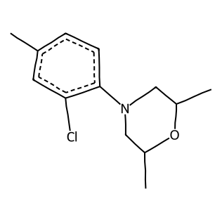 Cc1ccc(N2CC(C)OC(C)C2)c(Cl)c1